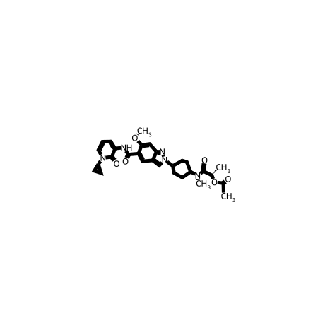 COc1cc2nn(C3CCC(N(C)C(=O)[C@H](C)OC(C)=O)CC3)cc2cc1C(=O)Nc1cccn(C2CC2)c1=O